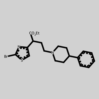 CCOC(=O)C(CCN1CCC(c2ccccc2)CC1)c1csc(Br)n1